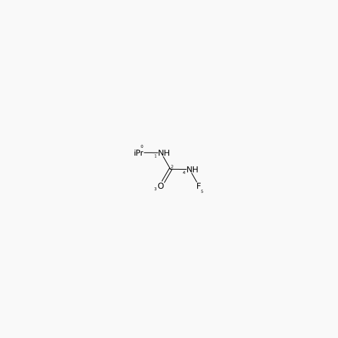 CC(C)NC(=O)NF